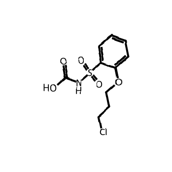 O=C(O)NS(=O)(=O)c1ccccc1OCCCCl